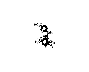 CCN(c1ccc(C(=O)O)cn1)c1nc2c(s1)C(C)(C)CC(=O)C2(C)C